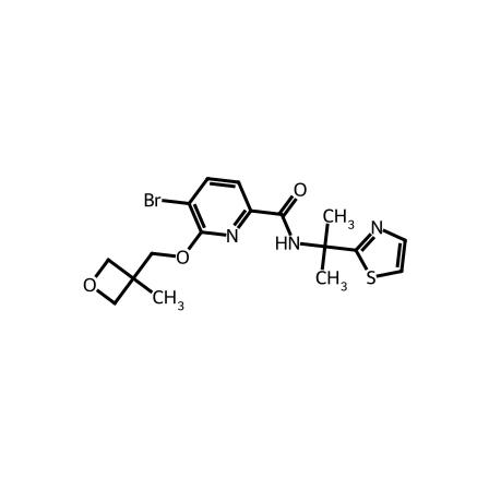 CC1(COc2nc(C(=O)NC(C)(C)c3nccs3)ccc2Br)COC1